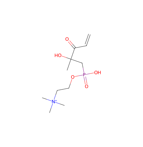 C=CC(=O)C(C)(O)CP(=O)(O)OCC[N+](C)(C)C